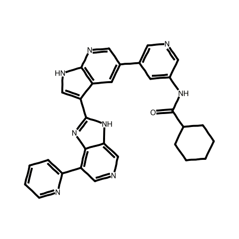 O=C(Nc1cncc(-c2cnc3[nH]cc(-c4nc5c(-c6ccccn6)cncc5[nH]4)c3c2)c1)C1CCCCC1